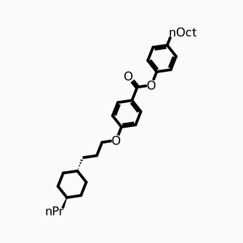 CCCCCCCCc1ccc(OC(=O)c2ccc(OCCC[C@H]3CC[C@H](CCC)CC3)cc2)cc1